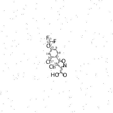 O=C(O)c1noc(-c2ccc(OC(F)F)cc2Cl)c1Cl